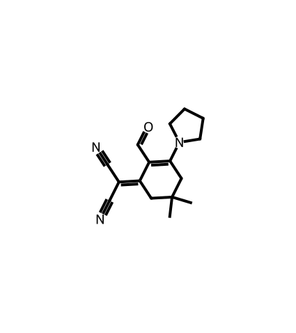 CC1(C)CC(=C(C#N)C#N)C(C=O)=C(N2CCCC2)C1